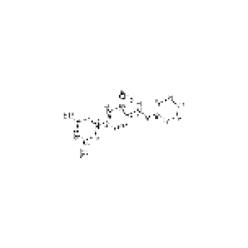 CCC1CN(c2ccc(NCC3CCCCC3)c(C)n2)CC(CC)O1